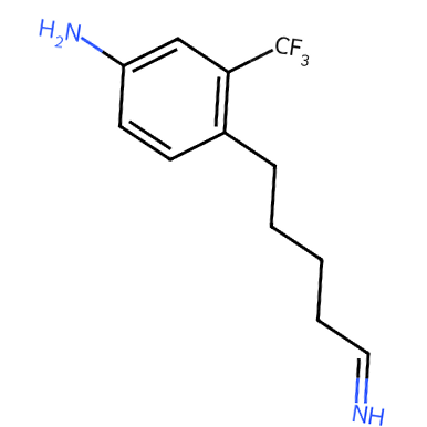 N=CCCCCc1ccc(N)cc1C(F)(F)F